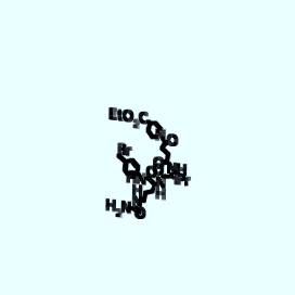 CCOC(=O)C1CCN(C(=O)CCC(=O)N[C@H](C(=O)N[C@@H](CCCNC(N)=O)C(=O)Nc2ccc(CBr)cc2)C(C)C)CC1